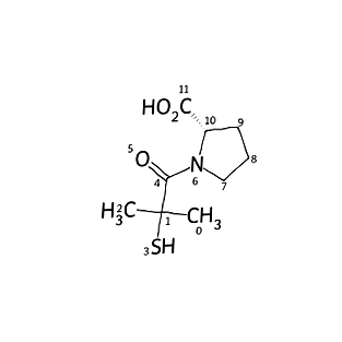 CC(C)(S)C(=O)N1CCC[C@H]1C(=O)O